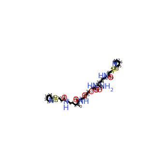 C[C@@H](CCCCNC(=O)CCSSc1ccccn1)C(=O)NCCOCCOCC(=O)N[C@@H](CCCCNC(=O)CCSSc1ccccn1)C(N)=O